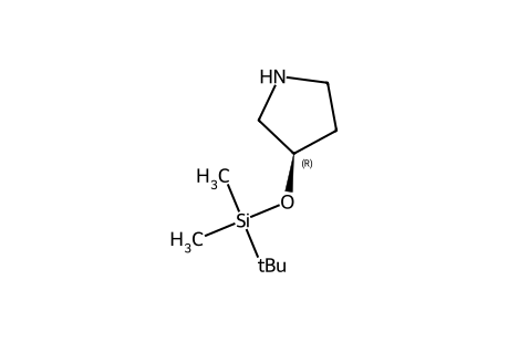 CC(C)(C)[Si](C)(C)O[C@@H]1CCNC1